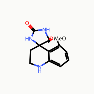 COc1cccc2c1C1(CCN2)NC(=O)NC1=O